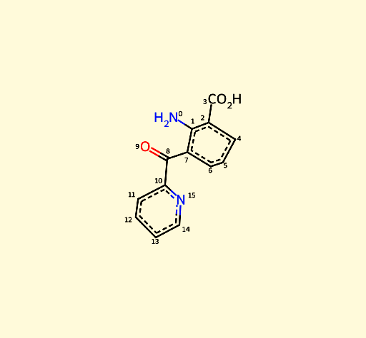 Nc1c(C(=O)O)cccc1C(=O)c1ccccn1